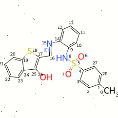 Cc1ccc(S(=O)(=O)Nc2ccccc2/N=C/c2sc3ccccc3c2O)cc1